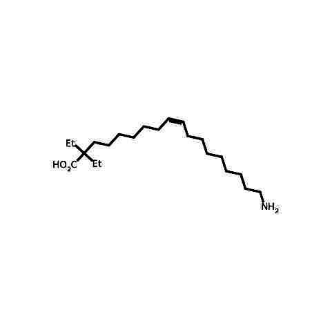 CCC(CC)(CCCCCC/C=C\CCCCCCCCN)C(=O)O